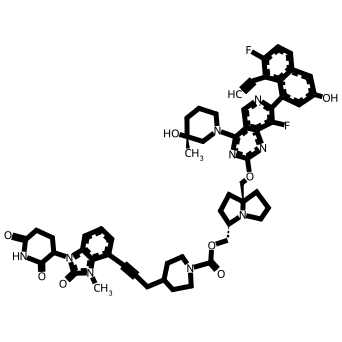 C#Cc1c(F)ccc2cc(O)cc(-c3ncc4c(N5CCC[C@@](C)(O)C5)nc(OC[C@@]56CCCN5[C@H](COC(=O)N5CCC(CC#Cc7cccc8c7n(C)c(=O)n8C7CCC(=O)NC7=O)CC5)CC6)nc4c3F)c12